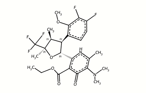 CCOC(=O)c1c([C@@H]2O[C@@](C)(C(F)(F)F)[C@@H](C)[C@H]2c2ccc(F)c(F)c2OC)[nH]c(C)c(N(C)C)c1=O